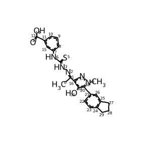 C/C(=N\NC(=S)Nc1cccc(C(=O)O)c1)c1nn(C)c(-c2ccc3c(c2)CCC3)c1O